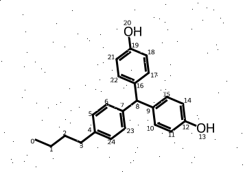 CCCCc1ccc(C(c2ccc(O)cc2)c2ccc(O)cc2)cc1